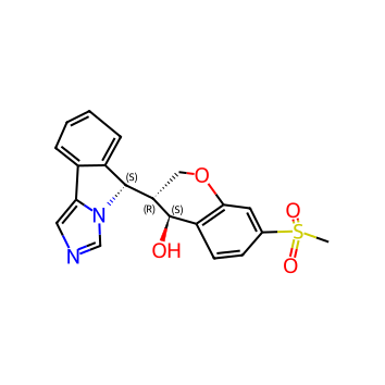 CS(=O)(=O)c1ccc2c(c1)OC[C@@H]([C@H]1c3ccccc3-c3cncn31)[C@@H]2O